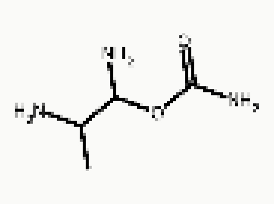 CC(N)C(N)OC(N)=O